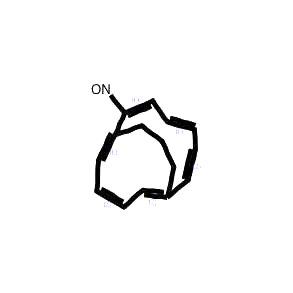 O=NC1=C/C=C/C=C\C2=C/C=C\C=C\1CCC2